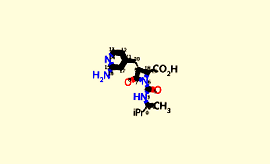 CC(C)[C@@H](C)NC(=O)N1C(=O)[C@H](Cc2ccnc(N)c2)[C@H]1C(=O)O